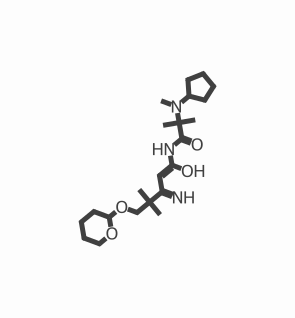 CN(C1CCCC1)C(C)(C)C(=O)N/C(O)=C/C(=N)C(C)(C)COC1CCCCO1